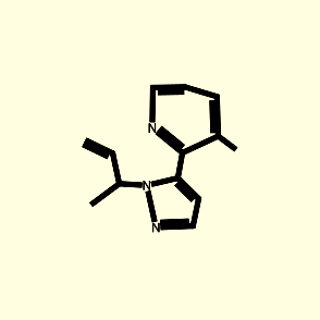 C=CC(C)n1nccc1-c1ncccc1C